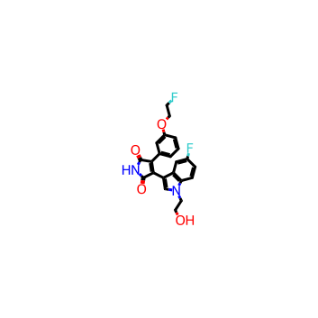 O=C1NC(=O)C(c2cn(CCO)c3ccc(F)cc23)=C1c1cccc(OCCF)c1